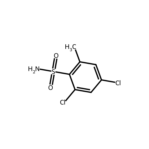 Cc1cc(Cl)cc(Cl)c1S(N)(=O)=O